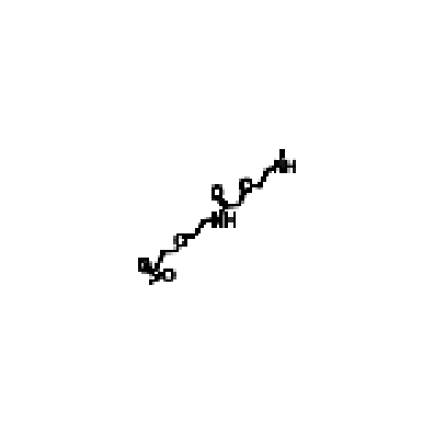 CNCCOCC(=O)NCCOCCS(C)(=O)=O